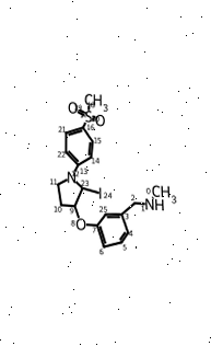 CNCc1cccc(OC2CCN(c3ccc(S(C)(=O)=O)cc3)C2I)c1